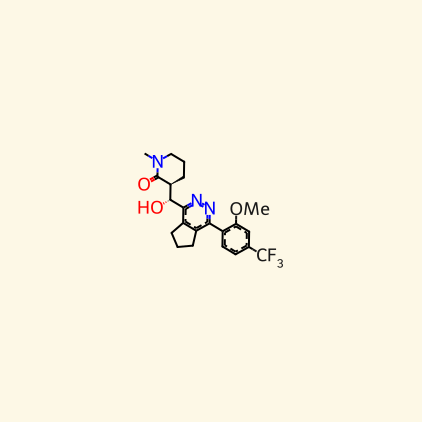 COc1cc(C(F)(F)F)ccc1-c1nnc([C@H](O)[C@@H]2CCCN(C)C2=O)c2c1CCC2